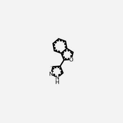 [c]1n[nH]cc1-c1occ2ccccc12